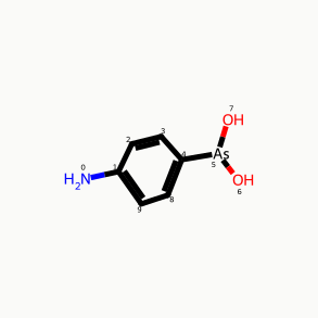 Nc1ccc([As](O)O)cc1